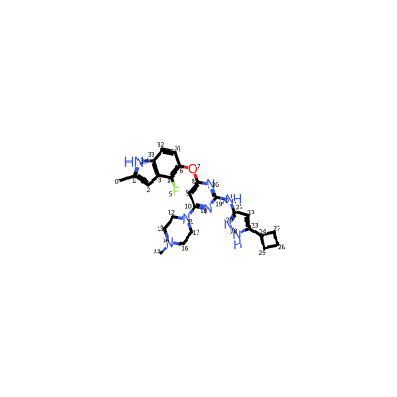 Cc1cc2c(F)c(Oc3cc(N4CCN(C)CC4)nc(Nc4cc(C5CCC5)[nH]n4)n3)ccc2[nH]1